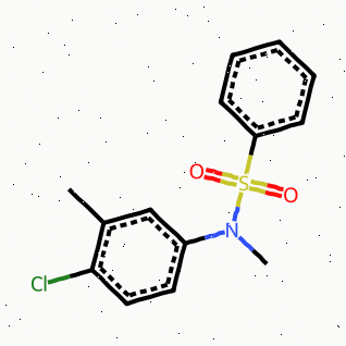 Cc1cc(N(C)S(=O)(=O)c2ccccc2)ccc1Cl